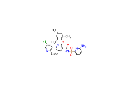 COc1ncc(Cl)cc1-c1ccc(C(=O)NS(=O)(=O)c2cccc(N)n2)c(Oc2c(C)cc(C)cc2C)n1